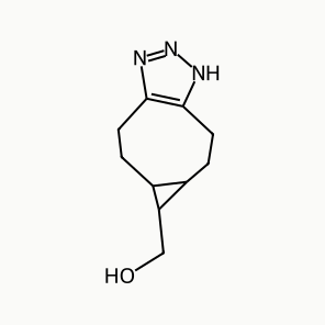 OCC1C2CCc3nn[nH]c3CCC12